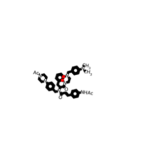 CC(=O)Nc1ccc(C=CC(=O)N(Cc2ccc(N3CCN(C(C)=O)CC3)cc2)C(Cc2ccccc2)C(=O)N2CCN(Cc3ccc(N(C)C)cc3)CC2)cc1